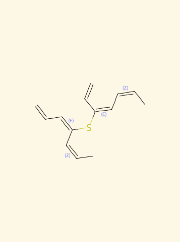 C=C/C=C(\C=C/C)S/C(C=C)=C/C=C\C